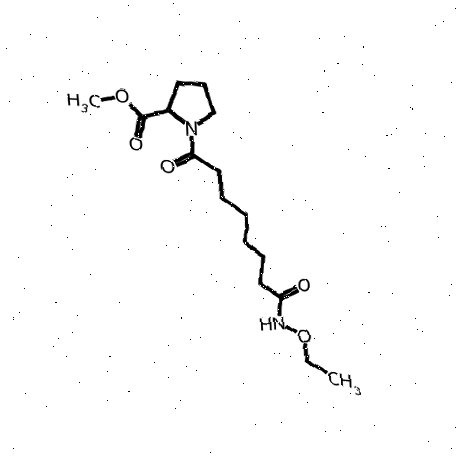 CCONC(=O)CCCCCCC(=O)N1CCCC1C(=O)OC